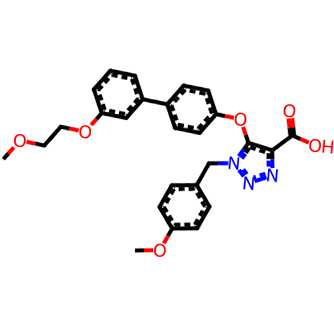 COCCOc1cccc(-c2ccc(Oc3c(C(=O)O)nnn3Cc3ccc(OC)cc3)cc2)c1